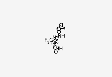 CN(C(=O)[C@H]1CCC(=O)NC1)C(c1ccc(NC2Cc3ccc(Cl)c(C4CC4)c3C2)cn1)C(F)(F)F